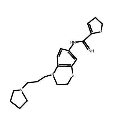 N=C(Nc1ccc2c(c1)SCCN2CCCN1CCCC1)C1=CCCS1